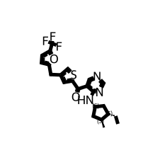 CC[C@H]1C[C@@H](Nc2ncncc2C(=O)c2cc(Cc3ccc(C(F)(F)F)o3)cs2)C[C@@H]1C